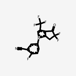 N#Cc1cc(-n2cc(C(F)(F)F)c3c2CC(F)(F)C3=O)ccc1F